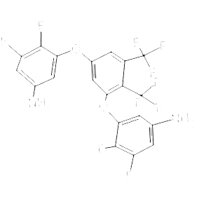 Nc1cc(F)c(F)c(Oc2cc(Oc3cc(N)cc(F)c3F)c(C(F)(F)F)c(C(F)(F)F)c2)c1